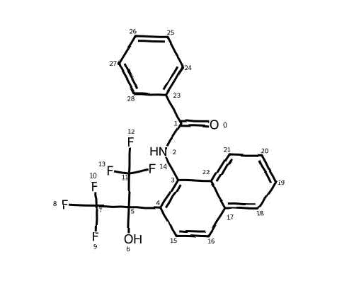 O=C(Nc1c(C(O)(C(F)(F)F)C(F)(F)F)ccc2ccccc12)c1ccccc1